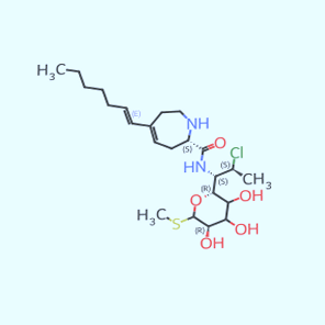 CCCCC/C=C/C1=CC[C@@H](C(=O)N[C@H]([C@H](C)Cl)[C@H]2OC(SC)[C@H](O)C(O)C2O)NCC1